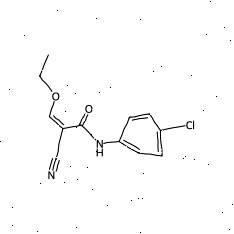 CCO/C=C(/C#N)C(=O)Nc1ccc(Cl)cc1